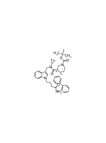 CC(C)(I)OC(=O)N1CC[C@H](c2cccc(-c3ccccc3)c2)[C@@H](C(=O)N(Cc2cn(CCCC(N)=O)c3ccccc23)C2CC2)C1